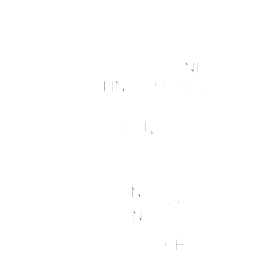 Cc1nnc(-c2ccc(S(=O)(=O)Nc3ccccc3CNC(C)CC3CCCCC3)cc2)o1